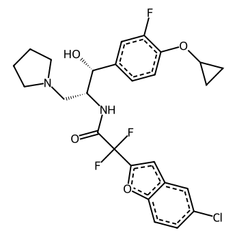 O=C(N[C@H](CN1CCCC1)[C@H](O)c1ccc(OC2CC2)c(F)c1)C(F)(F)c1cc2cc(Cl)ccc2o1